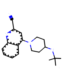 CC(C)(C)NC1CCN(c2cc(C#N)nc3ccccc23)CC1